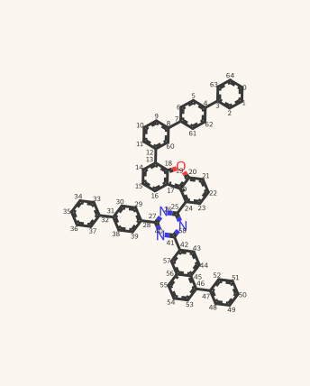 c1ccc(-c2ccc(-c3cccc(-c4cccc5c4oc4cccc(-c6nc(-c7ccc(-c8ccccc8)cc7)nc(-c7ccc8c(-c9ccccc9)cccc8c7)n6)c45)c3)cc2)cc1